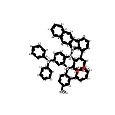 CCCCc1ccc(N2c3cc(N(c4ccccc4)c4ccccc4)ccc3B3c4c(cc(C)cc42)-c2cccc4c5cc6ccccc6cc5n3c24)c(-c2ccccc2)c1